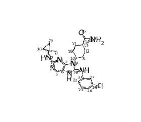 CC1(Nc2ncc3c(n2)N(C2CCC(C(N)=O)CC2)C(Nc2cccc(Cl)c2)N3)CC1